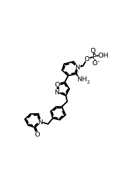 Nc1c(-c2cc(Cc3ccc(Cn4ccccc4=O)cc3)no2)ccc[n+]1COP(=O)([O-])O